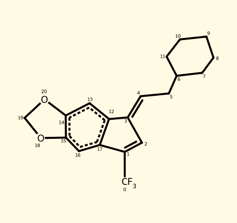 FC(F)(F)C1=C/C(=C\CC2CCCCC2)c2cc3c(cc21)OCO3